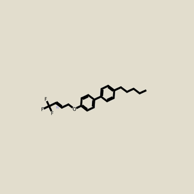 CCCCCc1ccc(-c2ccc(OC/C=C/C(F)(F)F)cc2)cc1